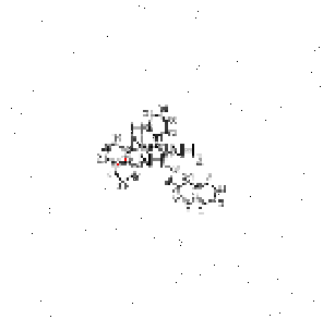 N/C(=C\CCc1ccc2ccccc2c1)[C]([C](NC1CCCCC1)NC1CCCCC1)c1ccccc1